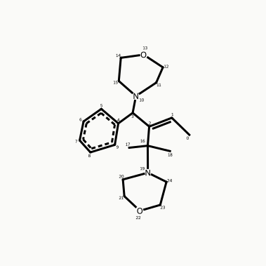 CC=C(C(c1ccccc1)N1CCOCC1)C(C)(C)N1CCOCC1